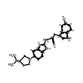 CN(C)C1CCN(c2ccc3nc(NC(=O)Cc4c[nH]c5ccc(Cl)cc45)sc3c2)C1